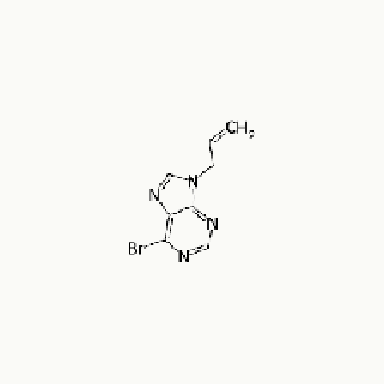 C=CCn1cnc2c(Br)ncnc21